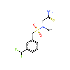 CC(C)N(CC(N)=S)S(=O)(=O)Cc1cccc(C(F)F)c1